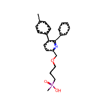 Cc1ccc(-c2ccc(COCCCP(C)(=O)O)nc2-c2ccccc2)cc1